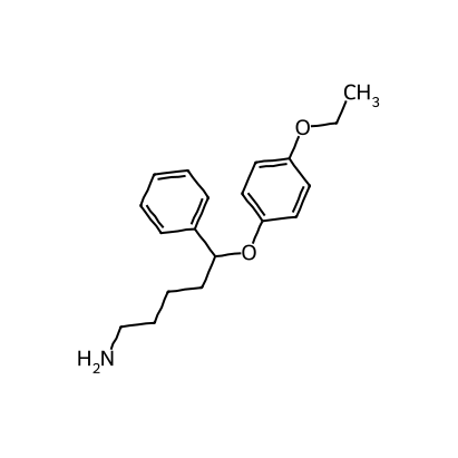 CCOc1ccc(OC(CCCCN)c2ccccc2)cc1